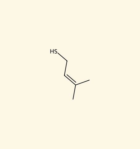 CC(C)=CCS